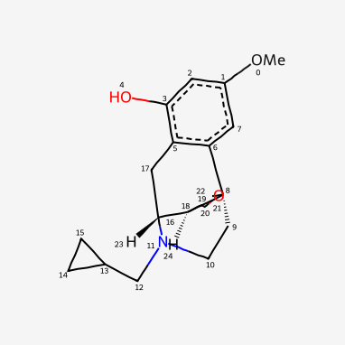 COc1cc(O)c2c(c1)[C@]13CCN(CC4CC4)[C@H](C2)[C@@H]1CCOC3